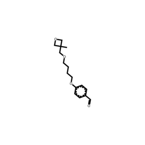 CC1(COCCCCOc2ccc(C=O)cc2)COC1